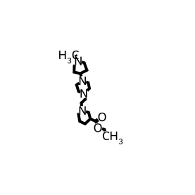 CCOC(=O)C1CCCN(CCN2CCN(C3CCN(C)CC3)CC2)C1